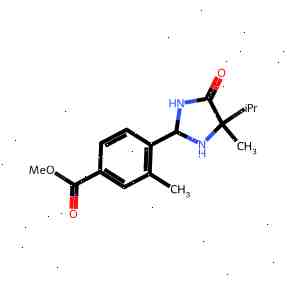 COC(=O)c1ccc(C2NC(=O)C(C)(C(C)C)N2)c(C)c1